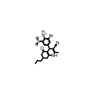 CCCC1CC(=O)C2=C(C1)NC(C)=C(C#N)C2c1cc(Br)c(N)c([N+](=O)[O-])c1